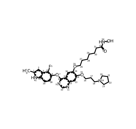 Cc1cc2c(F)c(Oc3ncnc4cc(OCCCN5CCCC5)c(OCCCCCCC(=O)NO)cc34)ccc2[nH]1